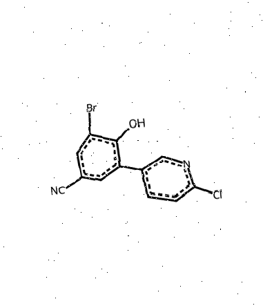 N#Cc1cc(Br)c(O)c(-c2ccc(Cl)nc2)c1